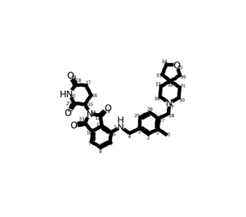 Cc1cc(CNc2cccc3c2C(=O)N(C2CCC(=O)NC2=O)C3=O)ccc1CN1CCC2(CCOC2)CC1